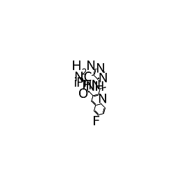 CC(C)NC(=O)c1cc2cc(F)ccc2nc1[C@H](C)Nc1ncnc(N)c1C#N